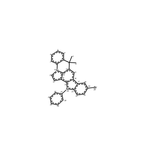 CC1(C)c2ccccc2-n2ccc3c2c1cc1c2cc(Br)ccc2n(-c2ccccc2)c13